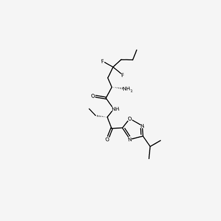 CCCC(F)(F)C[C@H](N)C(=O)N[C@@H](CC)C(=O)c1nc(C(C)C)no1